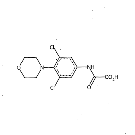 O=C(O)C(=O)Nc1cc(Cl)c(N2CCOCC2)c(Cl)c1